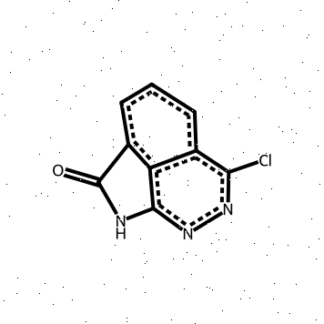 O=C1Nc2nnc(Cl)c3cccc1c23